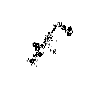 Cc1nc(NCCCCCC(=O)N(C)CCN2CCC(N(C(=O)O)c3ccccc3-c3ccccc3)CC2)sc1C(=O)N(C)CCCN(C)C(=O)CO[C@H]1Cc2ccccc2C12CCN(CC[C@@]1(c3ccc(F)cc3)CN(C(=O)c3cc(C(F)(F)F)cc(C(F)(F)F)c3)CO1)CC2.Cl.Cl.Cl